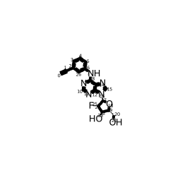 C#Cc1cccc(Nc2ncnc3c2ncn3[C@@H]2O[C@H](CO)[C@@H](O)[C@@H]2F)c1